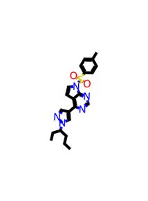 CCCC(CC)n1cc(-c2ncnc3c2ccn3S(=O)(=O)c2ccc(C)cc2)cn1